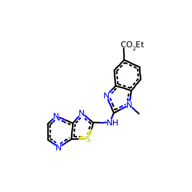 CCOC(=O)c1ccc2c(c1)nc(Nc1nc3nccnc3s1)n2C